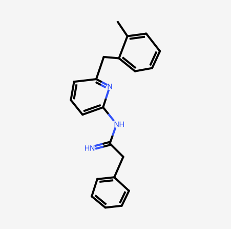 Cc1ccccc1Cc1cccc(NC(=N)Cc2ccccc2)n1